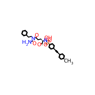 Cc1ccc(C#Cc2ccc(S(=O)(=O)N(O)[C@@H]([C]=O)CCC(=O)N(CCc3ccccc3)C(N)=O)cc2)cc1